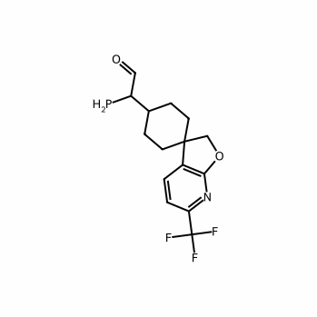 O=CC(P)C1CCC2(CC1)COc1nc(C(F)(F)F)ccc12